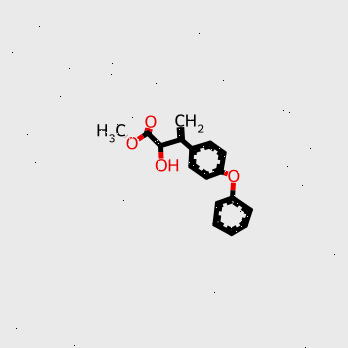 C=C(c1ccc(Oc2ccccc2)cc1)C(O)C(=O)OC